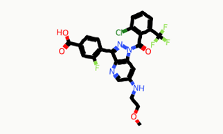 COCCNc1cnc2c(-c3ccc(C(=O)O)cc3F)nn(C(=O)c3c(Cl)cccc3C(F)(F)F)c2c1